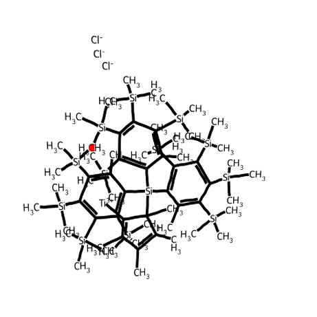 CC1=C(C)C(C)([Si](c2c(C)c([Si](C)(C)C)c([Si](C)(C)C)c([Si](C)(C)C)c2[Si](C)(C)C)(c2c(C)c([Si](C)(C)C)c([Si](C)(C)C)c([Si](C)(C)C)c2[Si](C)(C)C)c2c(C)c([Si](C)(C)C)c([Si](C)(C)C)c([Si](C)(C)C)c2[Si](C)(C)C)[C]([Ti+3])=C1C.[Cl-].[Cl-].[Cl-]